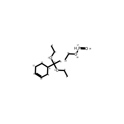 CCOC(C)(OCC)C1CC=CCC1.CCO[PH2]=O